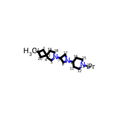 CC1CC2(CCN(C3CN(C4CCN(C(C)C)CC4)C3)CC2)C1